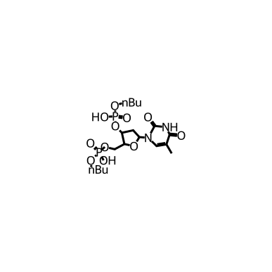 CCCCOP(=O)(O)OCC1OC(n2cc(C)c(=O)[nH]c2=O)CC1OP(=O)(O)OCCCC